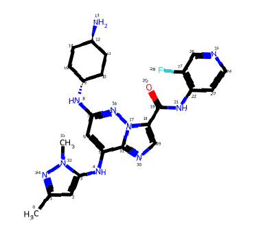 Cc1cc(Nc2cc(N[C@H]3CC[C@H](N)CC3)nn3c(C(=O)Nc4ccncc4F)cnc23)n(C)n1